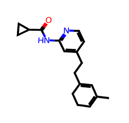 CC1=CCCC(CCc2ccnc(NC(=O)C3CC3)c2)=C1